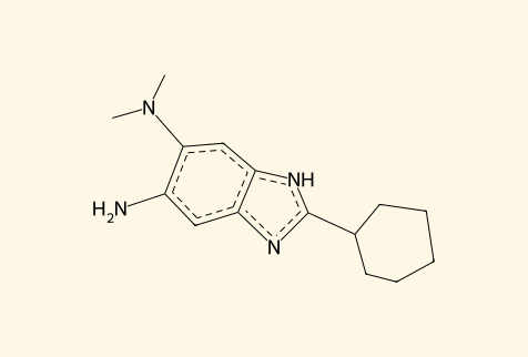 CN(C)c1cc2[nH]c(C3CCCCC3)nc2cc1N